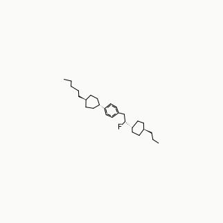 CCCCC[C@H]1CC[C@H](c2ccc(CC(F)[C@H]3CC[C@H](CCC)CC3)cc2)CC1